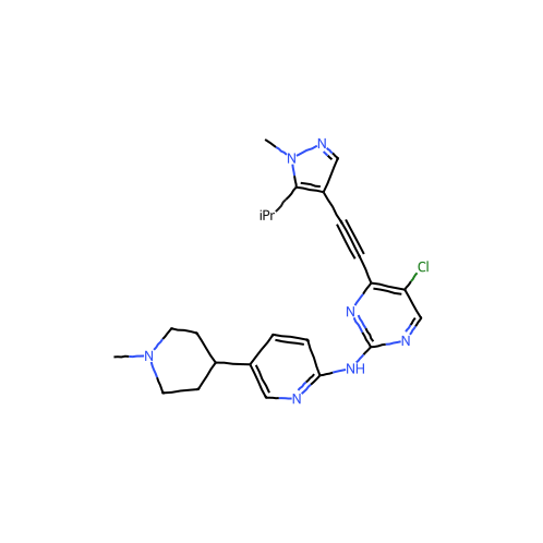 CC(C)c1c(C#Cc2nc(Nc3ccc(C4CCN(C)CC4)cn3)ncc2Cl)cnn1C